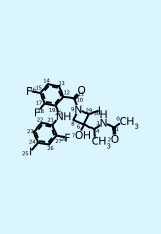 CC(=O)NC(C)C1(O)CN(C(=O)c2ccc(F)c(F)c2Nc2ccc(I)cc2F)C1I